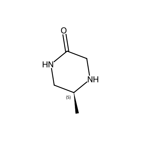 C[C@H]1CNC(=O)CN1